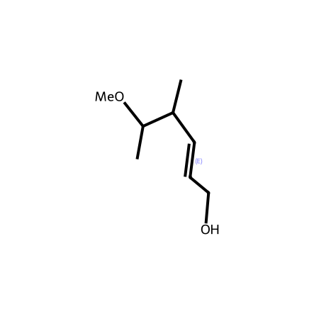 COC(C)C(C)/C=C/CO